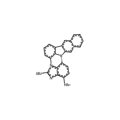 CC(C)(C)c1ccc2c3c1nc(C(C)(C)C)n3-c1cccc3c1B2c1cc2ccccc2cc1-3